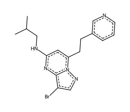 CC(C)CNc1cc(CCc2cccnc2)n2ncc(Br)c2n1